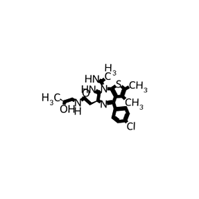 CC(=N)N1C(=N)[C@H](CC(=O)NC[C@@H](C)O)N=C(c2ccc(Cl)cc2)c2c1sc(C)c2C